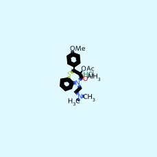 COc1ccc([C@@H]2Sc3ccccc3N(CCN(C)C)C(=O)[C@@H]2OC(C)=O)cc1.Cl.[AlH3]